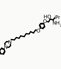 CC(C)C(N)C(O)COc1ccc(OCCCCCCCCCCCN2CCN(c3ccccc3)CC2)cc1